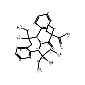 CCC(O)(CC)[C@@H](c1ccccc1)N(C(=O)C1(C(N)=O)CCC1)[C@H](c1ccccc1)C(O)(CC)CC